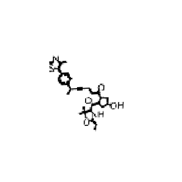 CCC(=O)NC(C(=O)C1C[C@H](O)CC1C(=O)CCC#CC(C)c1ccc(C2SC=NC2C)cc1)C(C)(C)C